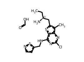 CC[C@H](N)Cc1sc2c(NCc3ccns3)nc(Cl)nc2c1C.O=CO